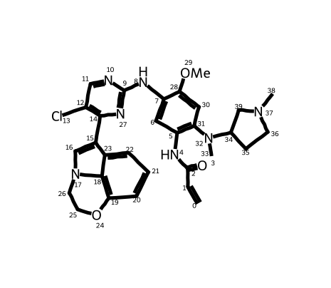 C=CC(=O)Nc1cc(Nc2ncc(Cl)c(-c3cn4c5c(cccc35)OCC4)n2)c(OC)cc1N(C)C1CCN(C)C1